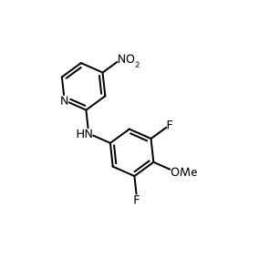 COc1c(F)cc(Nc2cc([N+](=O)[O-])ccn2)cc1F